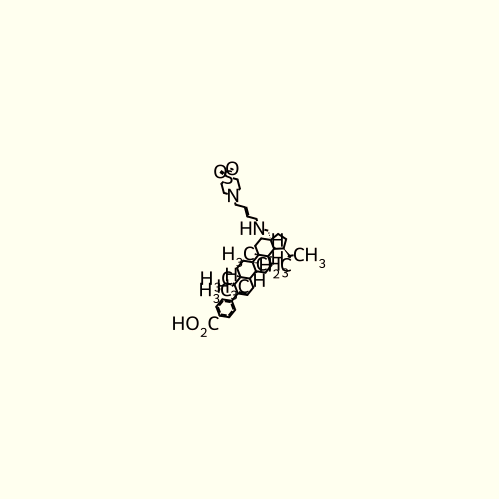 C=C(C)[C@@H]1CC[C@]2(CNC/C=C/CN3CCS(=O)(=O)CC3)CC[C@]3(C)[C@H](CC[C@@H]4[C@@]5(C)CC=C(c6ccc(C(=O)O)cc6)C(C)(C)[C@@H]5CC[C@]43C)[C@@H]12